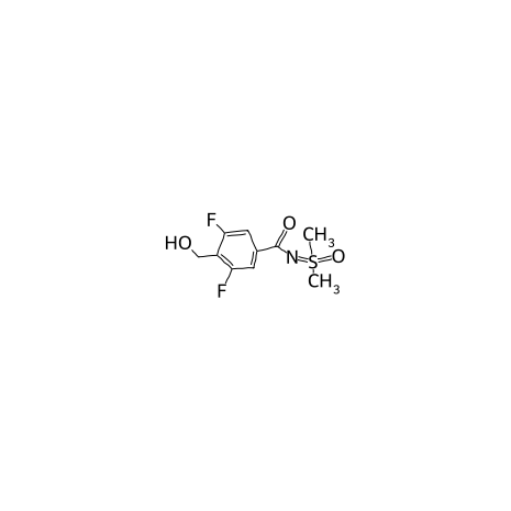 CS(C)(=O)=NC(=O)c1cc(F)c(CO)c(F)c1